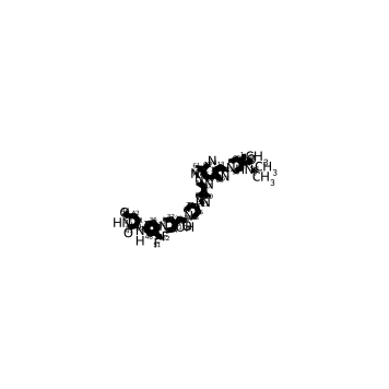 CCC1(C(=O)NC(C)C)CCN(c2ccc(-c3nc(-c4cnn(C5CCN(C(=O)CC6(O)CCN(c7ccc(NC8CCC(=O)NC8=O)cc7C(F)F)CC6)CC5)c4)cn4ncc(C#N)c34)cn2)CC1